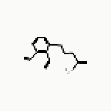 C=Cc1cccc(CCCC(=C)[SiH3])c1C=C